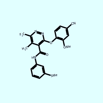 COc1cc(C#N)ccc1Oc1nnc(C(F)(F)F)c(C)c1C(=O)Nc1cccc(SC)c1